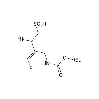 [2H]C(CS(=O)(=O)O)C(=CF)CNC(=O)OC(C)(C)C